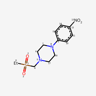 CCS(=O)(=O)CN1CCN(c2ccc([N+](=O)[O-])cc2)CC1